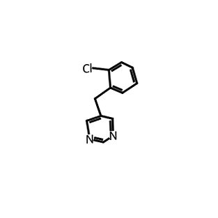 Clc1ccccc1Cc1cncnc1